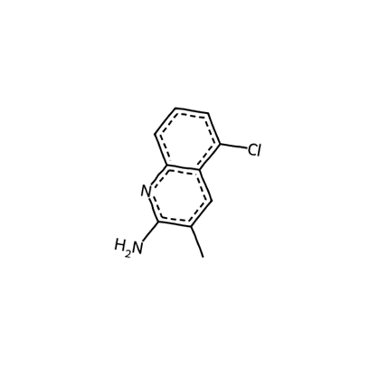 Cc1cc2c(Cl)cccc2nc1N